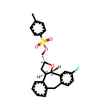 Cc1ccc(S(=O)(=O)OC[C@H]2C[C@@H]3c4ccccc4Cc4ccc(F)cc4[C@H]3O2)cc1